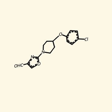 O=Cc1coc(N2CCC(Oc3ccc(Cl)cc3)CC2)n1